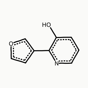 Oc1cccnc1-c1ccoc1